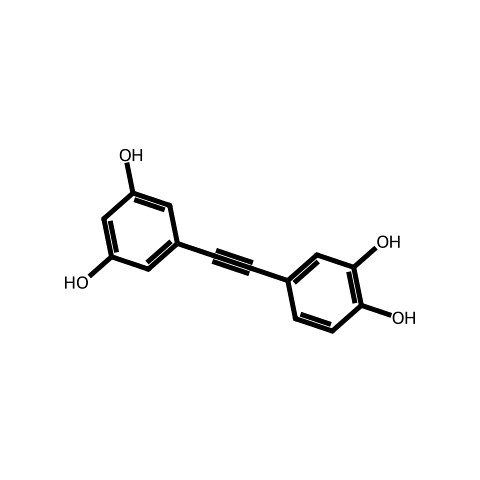 Oc1cc(O)cc(C#Cc2ccc(O)c(O)c2)c1